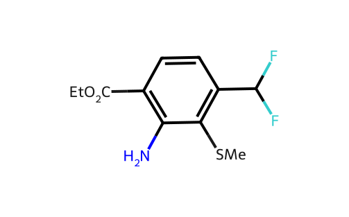 CCOC(=O)c1ccc(C(F)F)c(SC)c1N